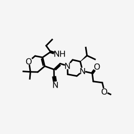 CCC(=N)C1=C(/C(C#N)=C/N2CCN(C(=O)CCOC)[C@H](C(C)C)C2)CC(C)(C)OC1